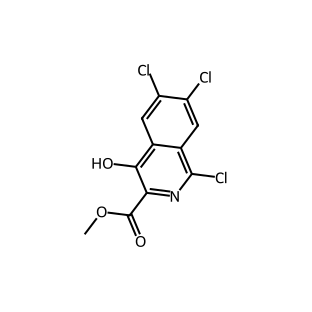 COC(=O)c1nc(Cl)c2cc(Cl)c(Cl)cc2c1O